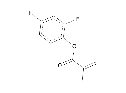 C=C(C)C(=O)Oc1ccc(F)cc1F